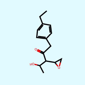 CCc1ccc(CC(=O)C(C(C)O)C2CO2)cc1